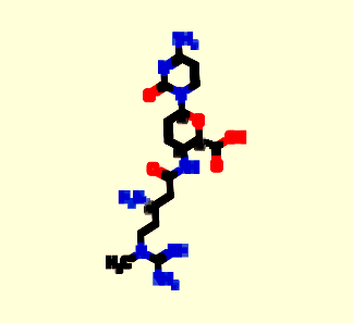 CN(CC[C@H](N)CC(=O)N[C@H]1C=C[C@H](n2ccc(N)nc2=O)O[C@@H]1C(=O)O)C(=N)N